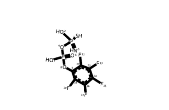 N=P(O)(S)OP(=O)(O)Oc1c(F)c(F)c(F)c(F)c1F